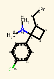 CC(C)CC1CCC1(c1ccc(Cl)cc1)N(C)C